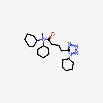 C[N+](C(=O)CCCc1nnnn1C1CCCCC1)(C1CCCCC1)C1CCCCC1